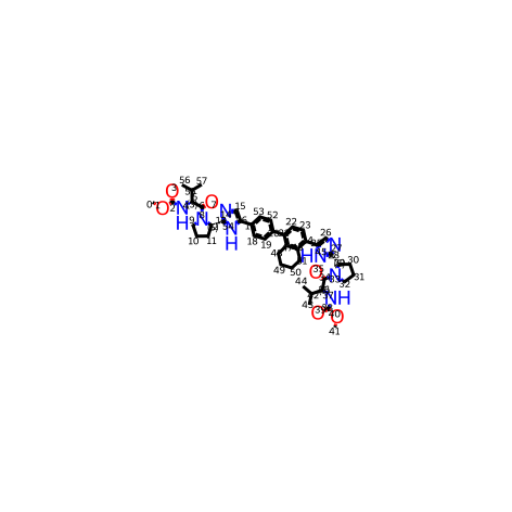 COC(=O)N[C@H](C(=O)N1CCC[C@H]1c1ncc(-c2ccc(-c3ccc(-c4cnc([C@@H]5CCCN5C(=O)[C@@H](NC(=O)OC)C(C)C)[nH]4)c4c3CCCC4)cc2)[nH]1)C(C)C